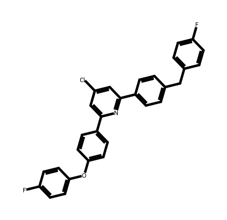 Fc1ccc(Cc2ccc(-c3cc(Cl)cc(-c4ccc(Oc5ccc(F)cc5)cc4)n3)cc2)cc1